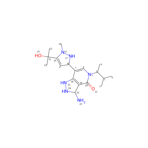 CC(C)C(C)n1cc(C2C=C(C(C)(C)O)N(C)N2)c2c(c1=O)C(N)NN2